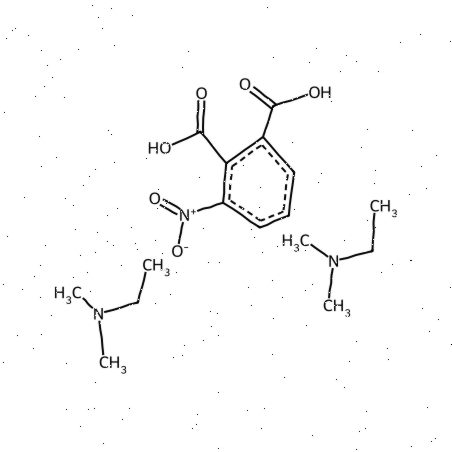 CCN(C)C.CCN(C)C.O=C(O)c1cccc([N+](=O)[O-])c1C(=O)O